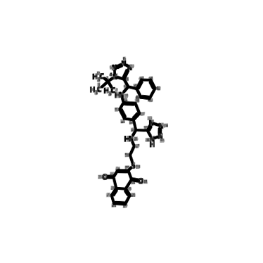 CC(C)(C)n1nnnc1C(Nc1ccc(C(NCCSC2=CC(=O)c3ccccc3C2=O)c2nnn[nH]2)cc1)c1ccccc1